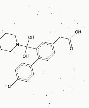 O=C(O)Cc1ccc(-c2ccc(Cl)cc2)c(C(O)(O)N2CCSCC2)c1